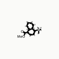 COC(=O)c1cc[c]([Sn]([CH3])([CH3])[CH3])c2ccccc12